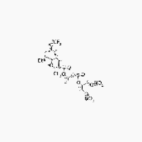 CCc1cc(OC(F)(F)F)cc2c1OC(C(F)(F)F)C(C(=O)OC(C)OC(=O)OC(CO[N+](=O)[O-])CO[N+](=O)[O-])=C2